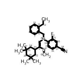 C=N/C(=C\N(Cc1ccccc1CC)c1ccc(C#N)cc1F)C1CC(C)(C)CC(C)(C)C1